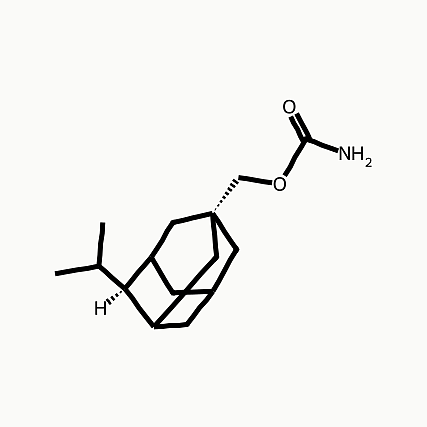 CC(C)[C@H]1C2CC3CC1C[C@](COC(N)=O)(C3)C2